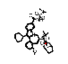 COc1cccc2c1C=C(C(=O)N1CC3CCC(C1)N3C(=O)OC(C)(C)C)Cn1c-2c(C2CCCCC2)c2ccc(C(=O)NS(=O)(=O)N(C)C)cc21